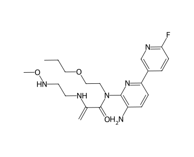 C=C(NCCNOC)C(=O)N(CCOCCC)c1nc(-c2ccc(F)nc2)ccc1N